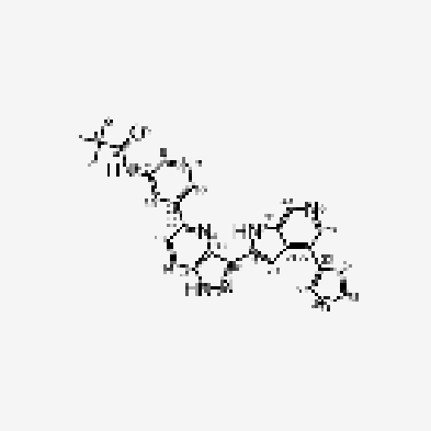 CC(C)(C)C(=O)Nc1cncc(-c2ccc3[nH]nc(-c4cc5c(-c6ccsc6)cncc5[nH]4)c3n2)c1